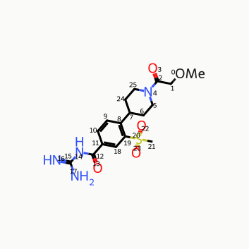 COCC(=O)N1CCC(c2ccc(C(=O)NC(=N)N)cc2S(C)(=O)=O)CC1